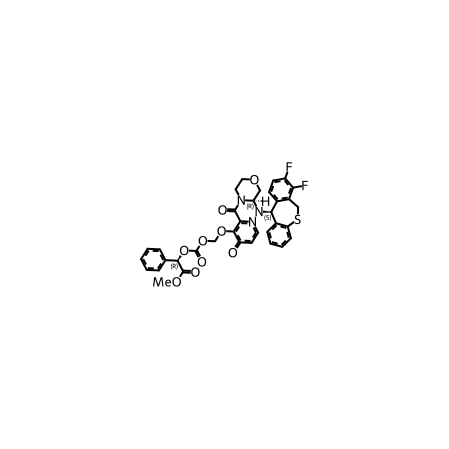 COC(=O)[C@H](OC(=O)OCOc1c2n(ccc1=O)N([C@@H]1c3ccccc3SCc3c1ccc(F)c3F)[C@@H]1COCCN1C2=O)c1ccccc1